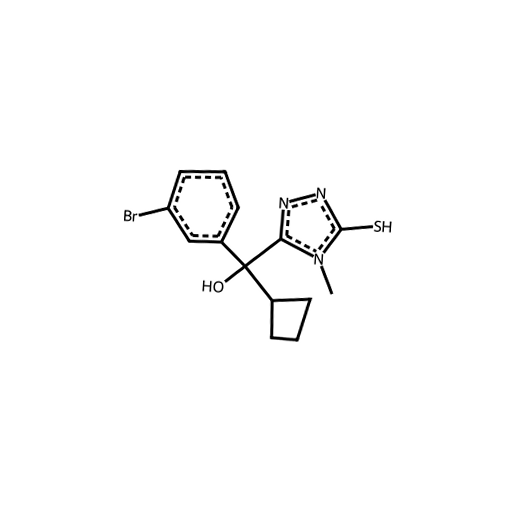 Cn1c(S)nnc1C(O)(c1cccc(Br)c1)C1CCC1